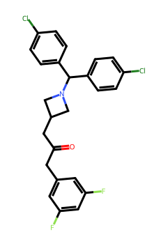 O=C(Cc1cc(F)cc(F)c1)CC1CN(C(c2ccc(Cl)cc2)c2ccc(Cl)cc2)C1